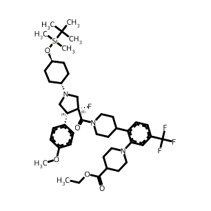 CCOC(=O)C1CCN(c2cc(C(F)(F)F)ccc2C2CCN(C(=O)[C@]3(F)CN([C@H]4CC[C@H](O[Si](C)(C)C(C)(C)C)CC4)C[C@H]3c3ccc(OC)cc3)CC2)CC1